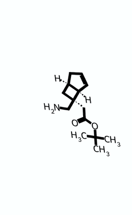 CC(C)(C)OC(=O)C[C@]1(CN)C[C@H]2CC=C[C@H]21